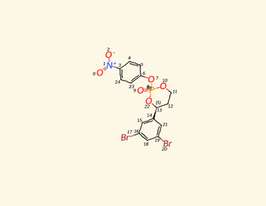 O=[N+]([O-])c1ccc(O[P@]2(=O)OCC[C@@H](c3cc(Br)cc(Br)c3)O2)cc1